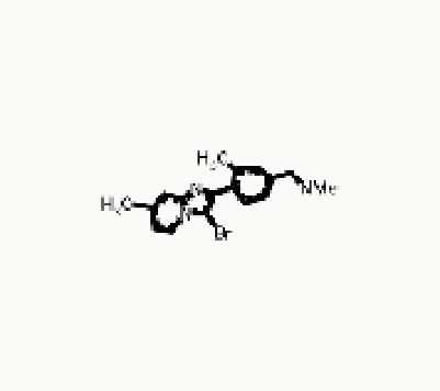 CNCc1ccc(-c2nc3cc(C)ccn3c2Br)c(C)c1